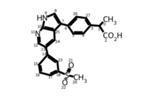 CC(C(=O)O)c1ccc(-c2c[nH]c3ncc(-c4cccc(S(C)(=O)=O)c4)cc23)cc1